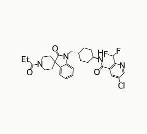 CCC(=O)N1CCC2(CC1)C(=O)N(C[C@H]1CC[C@H](NC(=O)c3cc(Cl)cnc3C(F)F)CC1)c1ccccc12